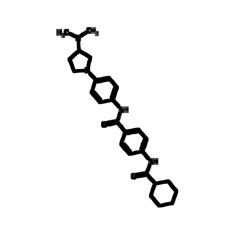 CN(C)C1CCN(c2ccc(NC(=O)c3ccc(NC(=O)C4CCCCC4)cc3)cc2)C1